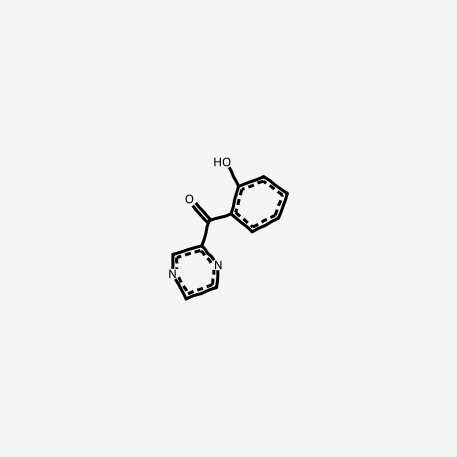 O=C(c1cnccn1)c1ccccc1O